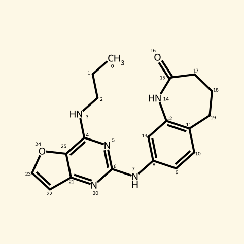 CCCNc1nc(Nc2ccc3c(c2)NC(=O)CCC3)nc2ccoc12